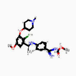 CCOc1cc(OC2CCN(C)CC2)c(F)c([C@@H](Nc2ccc(C(=N)NC(=O)OC(C)(C)C)cc2)C(=O)O)c1